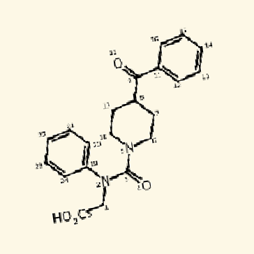 O=C(O)CN(C(=O)N1CCC(C(=O)c2ccccc2)CC1)c1ccccc1